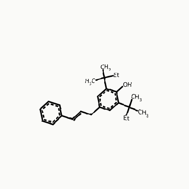 CCC(C)(C)c1cc(C/C=C/c2ccccc2)cc(C(C)(C)CC)c1O